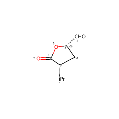 CC(C)C1C[C@@H](C=O)OC1=O